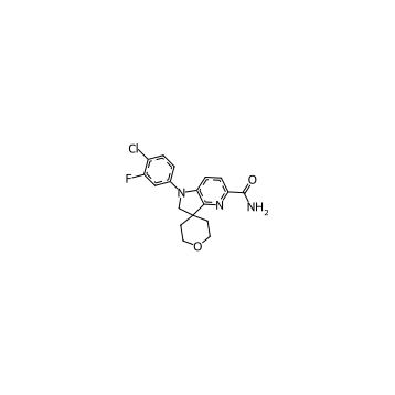 NC(=O)c1ccc2c(n1)C1(CCOCC1)CN2c1ccc(Cl)c(F)c1